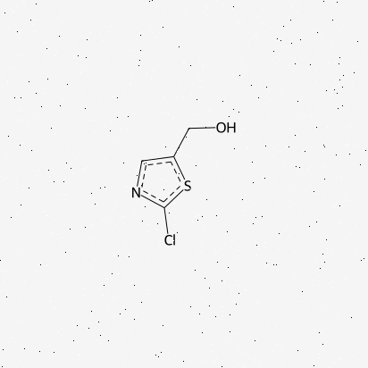 OCc1cnc(Cl)s1